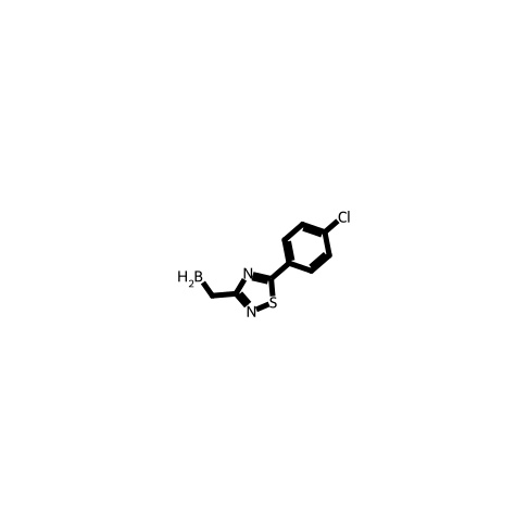 BCc1nsc(-c2ccc(Cl)cc2)n1